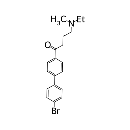 CCN(C)CCCC(=O)c1ccc(-c2ccc(Br)cc2)cc1